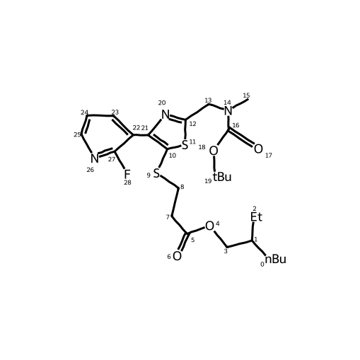 CCCCC(CC)COC(=O)CCSc1sc(CN(C)C(=O)OC(C)(C)C)nc1-c1cccnc1F